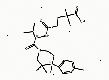 CC(C)[C@@H](NC(=O)CCC(C)(C)C(=O)O)C(=O)N1CC[C@](O)(c2ccc(Cl)cc2)C(C)(C)C1